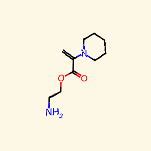 C=C(C(=O)OCCN)N1CCCCC1